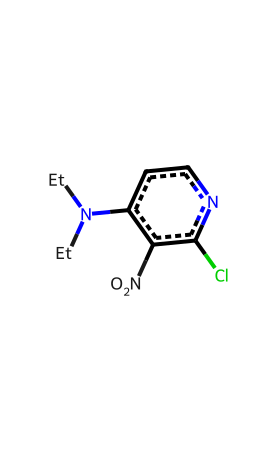 CCN(CC)c1ccnc(Cl)c1[N+](=O)[O-]